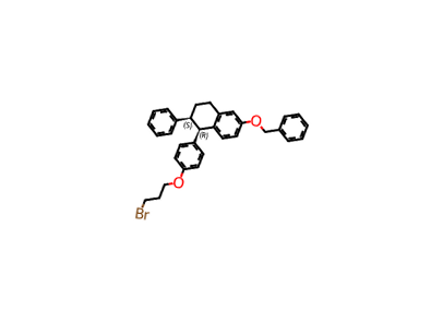 BrCCCOc1ccc([C@@H]2c3ccc(OCc4ccccc4)cc3CC[C@@H]2c2ccccc2)cc1